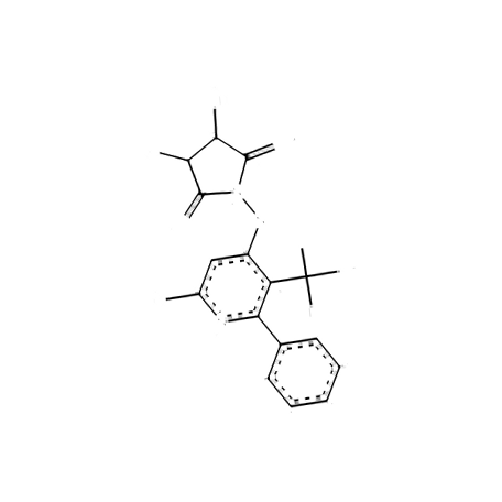 CC1C(=O)N(Nc2cc(Cl)nc(-c3ccccc3)c2C(F)(F)F)C(=O)C1C